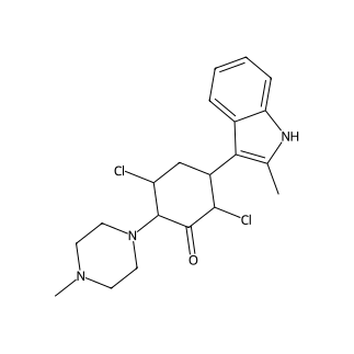 Cc1[nH]c2ccccc2c1C1CC(Cl)C(N2CCN(C)CC2)C(=O)C1Cl